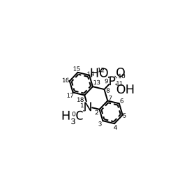 CN1c2ccccc2C(P(=O)(O)O)c2ccccc21